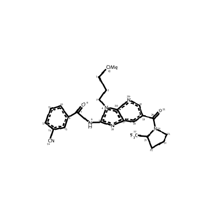 COCCCn1c(NC(=O)c2cccc(C#N)c2)nc2cc(C(=O)N3CCCC3C(F)(F)F)cnc21